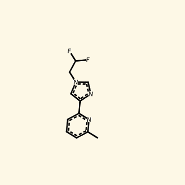 Cc1cccc(-c2cn(CC(F)F)cn2)n1